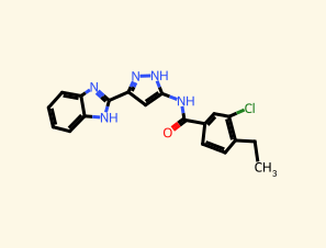 CCc1ccc(C(=O)Nc2cc(-c3nc4ccccc4[nH]3)n[nH]2)cc1Cl